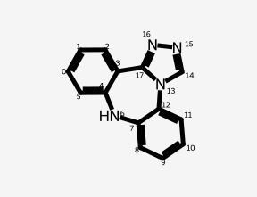 c1ccc2c(c1)Nc1ccccc1-n1cnnc1-2